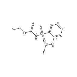 CCOC(=O)NS(=O)(=O)c1ccccc1OCF